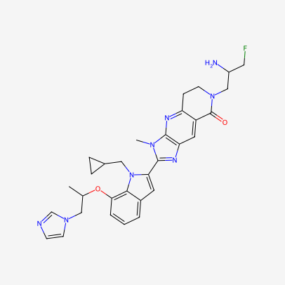 CC(Cn1ccnc1)Oc1cccc2cc(-c3nc4cc5c(nc4n3C)CCN(CC(N)CF)C5=O)n(CC3CC3)c12